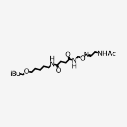 CCC(C)COCCCCCNC(=O)CCC(=O)NCO/N=C/CNC(C)=O